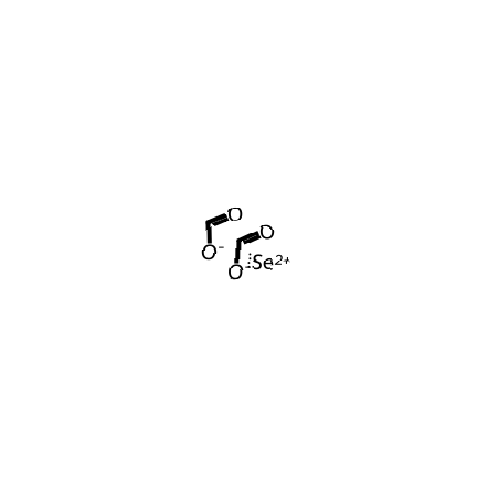 O=C[O-].O=C[O-].[Se+2]